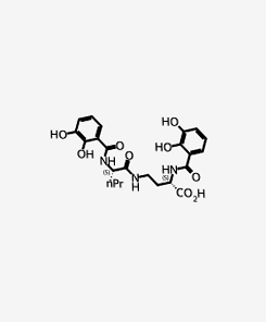 CCC[C@H](NC(=O)c1cccc(O)c1O)C(=O)NCC[C@H](NC(=O)c1cccc(O)c1O)C(=O)O